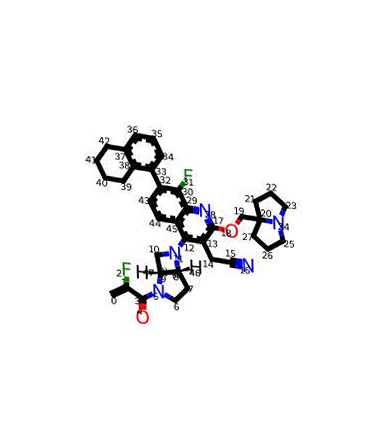 C=C(F)C(=O)N1CC[C@@H]2[C@H]1CN2c1c(CC#N)c(OCC23CCCN2CCC3)nc2c(F)c(-c3cccc4c3CCCC4)ccc12